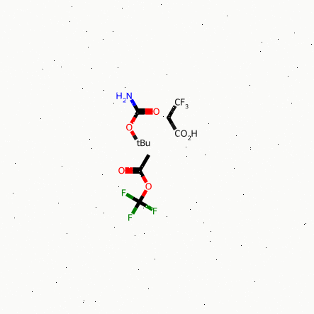 CC(=O)OC(F)(F)F.CC(C)(C)OC(N)=O.O=C(O)CC(F)(F)F